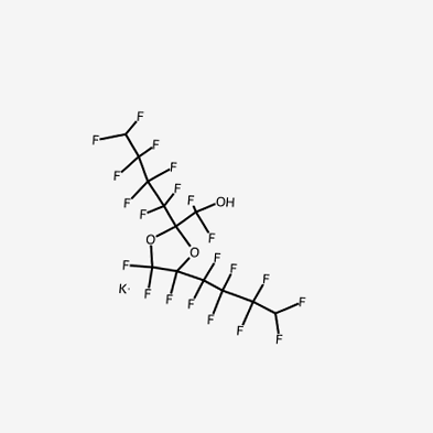 OC(F)(F)C1(C(F)(F)C(F)(F)C(F)(F)C(F)F)OC(F)(F)C(F)(C(F)(F)C(F)(F)C(F)(F)C(F)F)O1.[K]